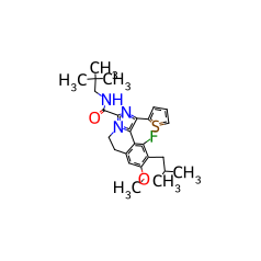 COc1cc2c(c(F)c1CC(C)C)-c1c(-c3cccs3)nc(C(=O)NCC(C)(C)C)n1CC2